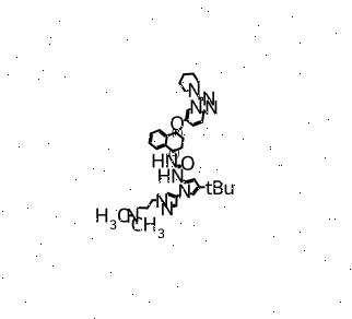 CN(C)CCCn1cc(-n2cc(C(C)(C)C)cc2NC(=O)N[C@H]2CC[C@@H](Oc3ccc4nnc(N5CCCCC5)n4c3)c3ccccc32)cn1